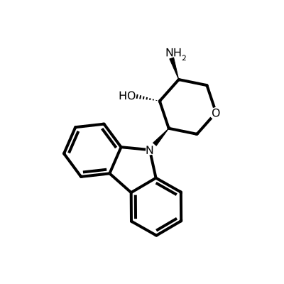 N[C@H]1COC[C@@H](n2c3ccccc3c3ccccc32)[C@@H]1O